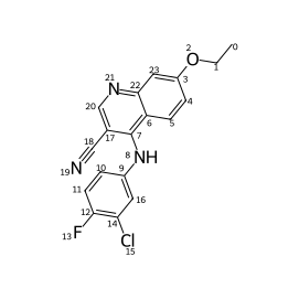 CCOc1ccc2c(Nc3ccc(F)c(Cl)c3)c(C#N)cnc2c1